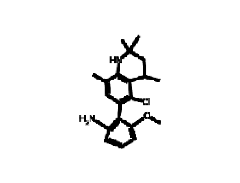 COc1cccc(N)c1-c1cc(C)c2c(c1Cl)C(C)CC(C)(C)N2